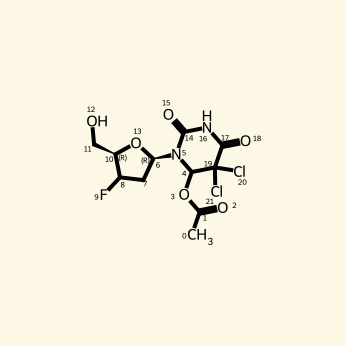 CC(=O)OC1N([C@H]2CC(F)[C@@H](CO)O2)C(=O)NC(=O)C1(Cl)Cl